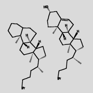 CC(C)CCC[C@@H](C)[C@H]1CC[C@H]2[C@@H]3CC=C4C[C@@H](O)CC[C@]4(C)[C@H]3CC[C@]12C.CC(C)CCC[C@@H](C)[C@H]1CC[C@H]2[C@@H]3CCC4CCCC[C@]4(C)[C@H]3CC[C@]12C